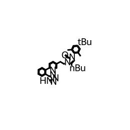 CCCCc1cn(-c2c(C)cc(C(C)(C)C)cc2C)c(=O)n1CCc1ccc(-c2ccccc2-c2nnn[nH]2)nc1